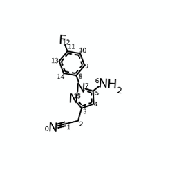 N#CCc1cc(N)n(-c2ccc(F)cc2)n1